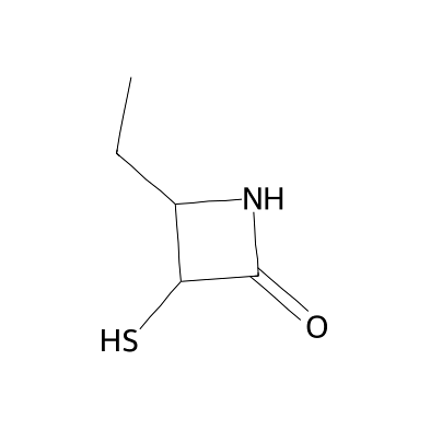 CCC1NC(=O)C1S